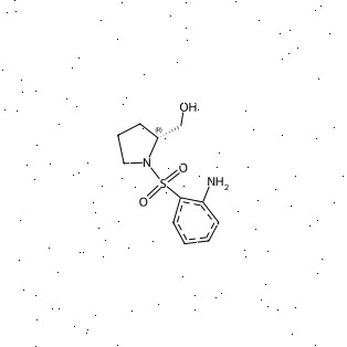 Nc1ccccc1S(=O)(=O)N1CCC[C@@H]1CO